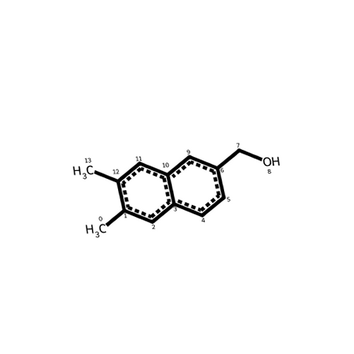 Cc1cc2ccc(CO)cc2cc1C